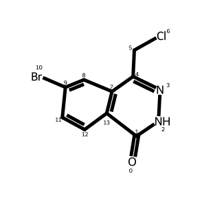 O=c1[nH]nc(CCl)c2cc(Br)ccc12